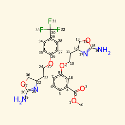 COC(=O)c1cccc(OCCC2COC(N)=N2)c1.NC1=NC(CCOc2ccc(C(F)(F)F)cc2)CO1